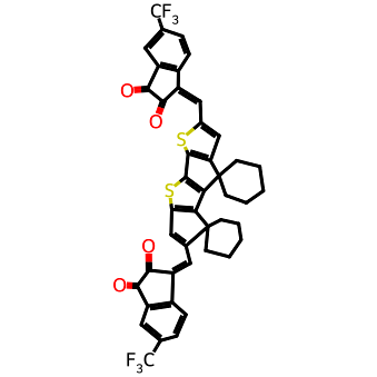 O=C1C(=O)c2cc(C(F)(F)F)ccc2/C1=C/C1=Cc2sc3c(c2C12CCCCC2)C1(CCCCC1)c1cc(/C=C2\C(=O)C(=O)c4cc(C(F)(F)F)ccc42)sc1-3